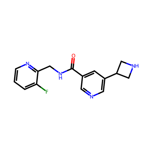 O=C(NCc1ncccc1F)c1cncc(C2CNC2)c1